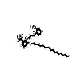 CCCCCCCCCCCCCCCCCCOc1cccc(C(=O)O)c1OCCCOc1ccccc1O